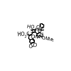 CCCCc1csc(C=C(Cc2cc3c(cc2OC)OCO3)C(=O)O)c1-c1cnc(OC)nc1OCc1ccccc1C(=O)O